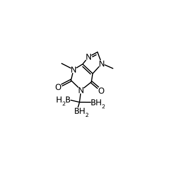 BC(B)(B)n1c(=O)c2c(ncn2C)n(C)c1=O